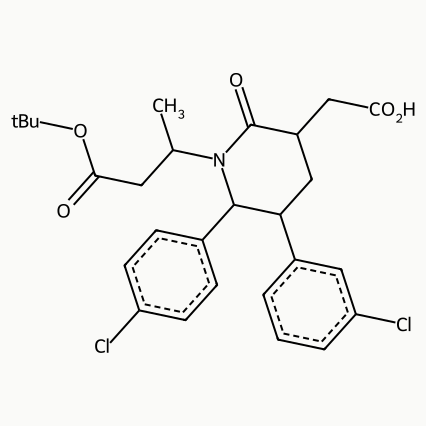 CC(CC(=O)OC(C)(C)C)N1C(=O)C(CC(=O)O)CC(c2cccc(Cl)c2)C1c1ccc(Cl)cc1